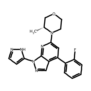 C[C@@H]1COCCN1c1cc(-c2ccccc2F)c2cnn(-c3ccn[nH]3)c2n1